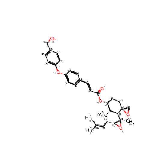 CO[C@@H]1[C@H](OC(=O)/C=C/c2ccc(Oc3ccc(CO)cc3)cc2)CC[C@]2(CO2)[C@H]1[C@@]1(C)O[C@@H]1CC=C(C)C